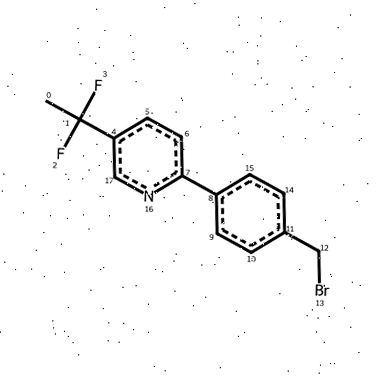 CC(F)(F)c1ccc(-c2ccc(CBr)cc2)nc1